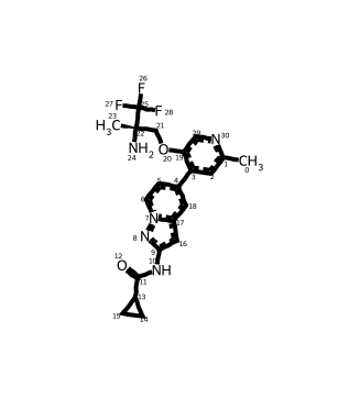 Cc1cc(-c2ccn3nc(NC(=O)C4CC4)cc3c2)c(OC[C@](C)(N)C(F)(F)F)cn1